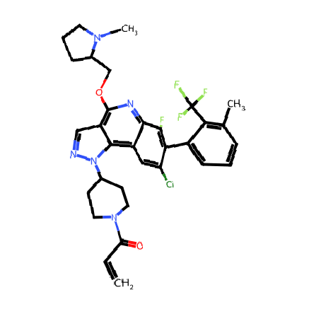 C=CC(=O)N1CCC(n2ncc3c(OCC4CCCN4C)nc4c(F)c(-c5cccc(C)c5C(F)(F)F)c(Cl)cc4c32)CC1